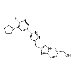 OCc1ccc2nc(Cn3cc(-c4cnc(F)c(N5CCCC5)c4)nn3)cn2c1